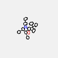 c1ccc(-c2ccc(N(c3ccc(-c4ccccc4)cc3)c3cc4c(c5oc6c(-c7ccccc7)cccc6c35)-c3ccccc3C4(c3ccccc3)c3ccccc3)cc2)cc1